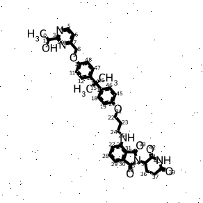 CC(O)c1nccc(COc2ccc(C(C)(C)c3ccc(OCCCNc4cccc5c4C(=O)N(C4CCC(=O)NC4=O)C5=O)cc3)cc2)n1